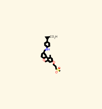 Cc1cc(OCCCS(C)(=O)=O)cc2c1-c1cc(CNc3ccc(C4CC4C(=O)O)cc3)ccc1OC2